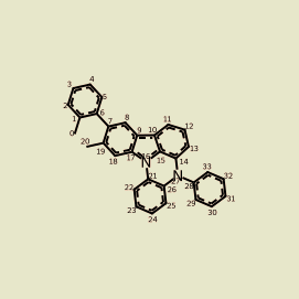 Cc1ccccc1-c1cc2c3cccc4c3n(c2cc1C)-c1ccccc1N4c1ccccc1